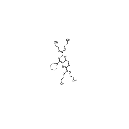 OCCON(OCCO)c1nc(N2CCCCC2)c2nc(N(OCCO)OCCO)ncc2n1